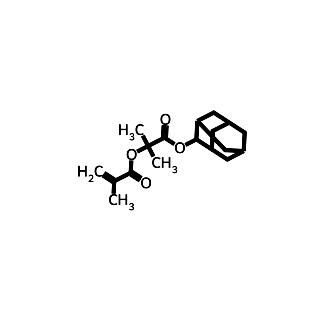 C=C(C)C(=O)OC(C)(C)C(=O)OC1C2CC3CC(C2)CC1C3